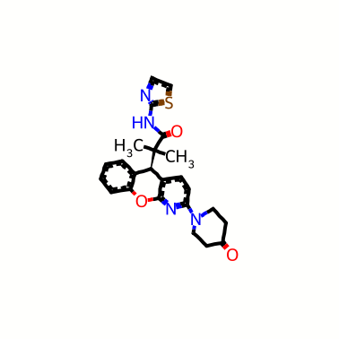 CC(C)(C(=O)Nc1nccs1)[C@@H]1c2ccccc2Oc2nc(N3CCC(=O)CC3)ccc21